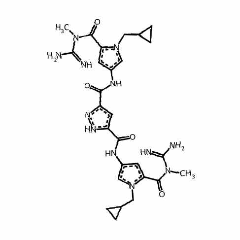 CN(C(=N)N)C(=O)c1cc(NC(=O)c2cc(C(=O)Nc3cc(C(=O)N(C)C(=N)N)n(CC4CC4)c3)[nH]n2)cn1CC1CC1